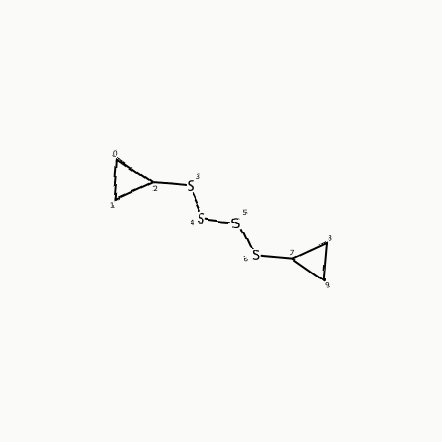 C1CC1SSSSC1CC1